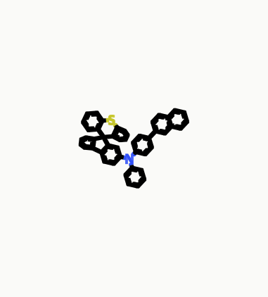 c1ccc(N(c2ccc(-c3ccc4ccccc4c3)cc2)c2ccc3c(c2)C2(c4ccccc4Sc4ccccc42)c2ccccc2-3)cc1